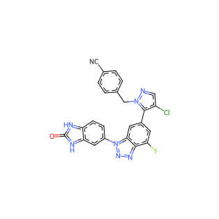 N#Cc1ccc(Cn2ncc(Cl)c2-c2cc(F)c3nnn(-c4ccc5[nH]c(=O)[nH]c5c4)c3c2)cc1